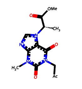 COC(=O)[C@H](C)n1cnc2c1c(=O)n(CC(C)=O)c(=O)n2C